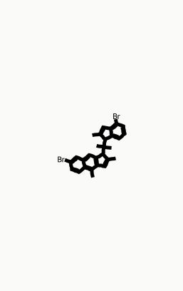 CC1=Cc2c(Br)cccc2C1C(C)(C)C1C(C)=Cc2c1cc1cc(Br)ccc1c2C